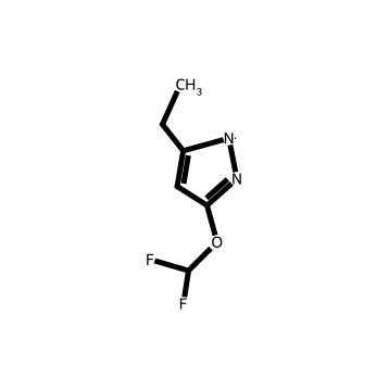 CCC1=CC(OC(F)F)=N[N]1